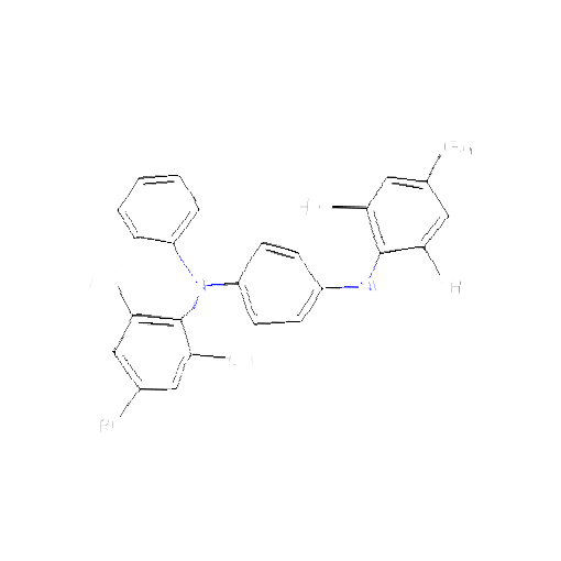 Cc1cc(C(C)(C)C)cc(C)c1Nc1ccc(N(c2ccccc2)c2c(C)cc(C(C)(C)C)cc2C)cc1